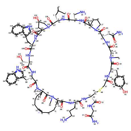 CC(C)C[C@@H]1NC(=O)[C@H](CN)NC(=O)[C@@H]2CCCN2C(=O)[C@H](CC(N)=O)NC(=O)[C@H](C)N(C)C(=O)[C@H](Cc2ccc(O)cc2)NC(=O)CSC[C@H](C(=O)NCC(N)=O)NC(=O)[C@@H](CCCN)NC(=O)[C@H]2CCC/C=C\CCC[C@@H](C(=O)N2C)N(C)C(=O)[C@H](Cc2c[nH]c3ccccc23)NC(=O)[C@H](CO)NC(=O)[C@@H](Cc2c[nH]c3ccccc23)NC(=O)[C@@H]2C[C@@H](O)CN2C1=O